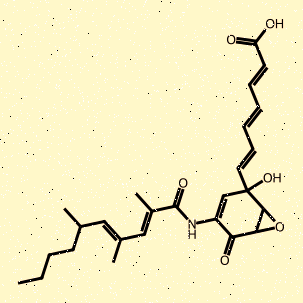 CCCCC(C)C=C(C)C=C(C)C(=O)NC1=CC(O)(C=CC=CC=CC(=O)O)C2OC2C1=O